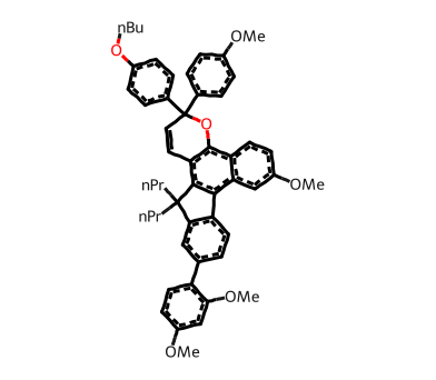 CCCCOc1ccc(C2(c3ccc(OC)cc3)C=Cc3c4c(c5cc(OC)ccc5c3O2)-c2ccc(-c3ccc(OC)cc3OC)cc2C4(CCC)CCC)cc1